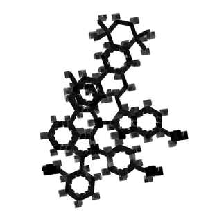 Cc1cc(C)c2c(c1)-c1cccc3c(-c4ccccc4C(C)(C)C)n(-c4ccc(C(C)(C)C)cc4)c(c13)B2c1sc2cc(C(C)(C)C)ccc2c1CCc1cc2c(cc1-c1ccccc1)C(C)(C)CCC2(C)C